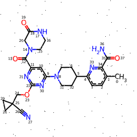 Cc1ccc(C2CCN(c3cc(C(=O)N4CCNC(=O)C4)nc(OCC4(C#N)CC4)n3)CC2)nc1C(N)=O